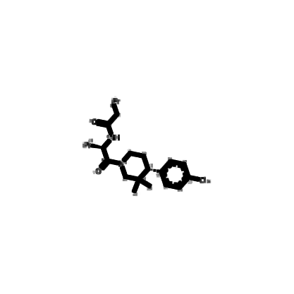 CC(C)CC(=O)N[C@@H](C(=O)N1CC[C@H](c2ccc(Cl)cc2)C(C)(C)C1)C(C)C